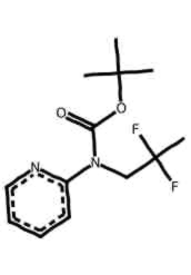 CC(F)(F)CN(C(=O)OC(C)(C)C)c1ccccn1